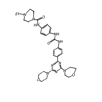 CCN1CCN(C(=O)Nc2ccc(NC(=O)Nc3ccc(-c4nc(N5CCOCC5)nc(N5CCOCC5)n4)cc3)cc2)CC1